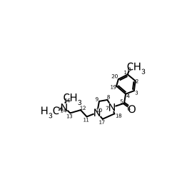 Cc1ccc(C(=O)N2CCN(CCCN(C)C)CC2)cc1